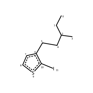 CCC(C)CCc1ccsc1I